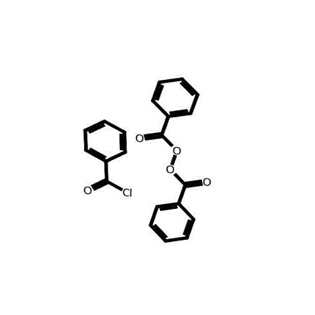 O=C(Cl)c1ccccc1.O=C(OOC(=O)c1ccccc1)c1ccccc1